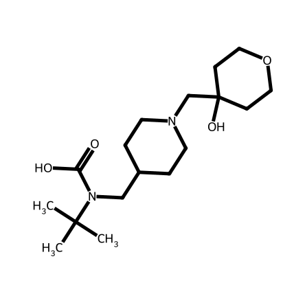 CC(C)(C)N(CC1CCN(CC2(O)CCOCC2)CC1)C(=O)O